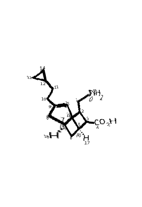 NCC1C(C(=O)O)[C@H]2C[C@H]3CC(CCC4CC4)=CC132